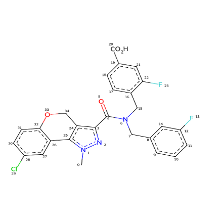 Cn1nc(C(=O)N(Cc2cccc(F)c2)Cc2ccc(C(=O)O)cc2F)c2c1-c1cc(Cl)ccc1OC2